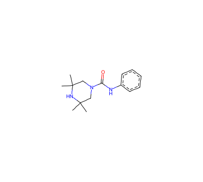 CC1(C)CN(C(=O)Nc2ccccc2)CC(C)(C)N1